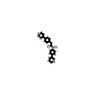 O=C(Cc1ccc(-c2ccnnc2)cc1)Nc1ccc(-c2cccnc2)cc1